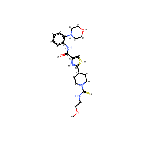 COCCNC(=S)N1CCC(c2nc(C(=O)Nc3ccccc3N3CCOCC3)cs2)CC1